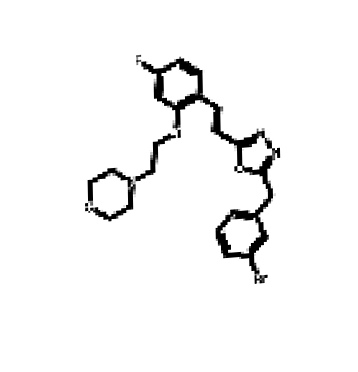 Fc1ccc(/C=C/c2nnc(Cc3cccc(Br)c3)o2)c(OCCN2CCOCC2)c1